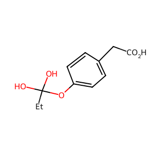 CCC(O)(O)Oc1ccc(CC(=O)O)cc1